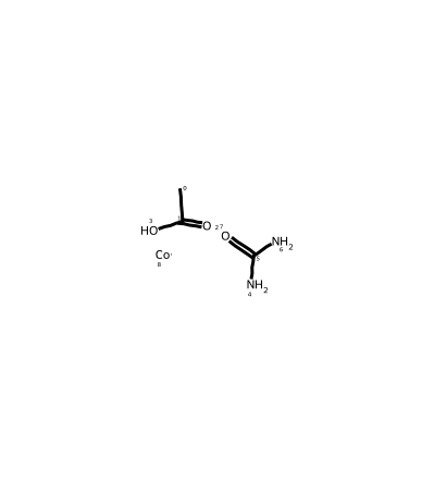 CC(=O)O.NC(N)=O.[Co]